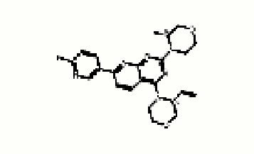 C=C[C@H]1COCCN1c1nc(N2CCOC[C@@H]2C)nc2nc(-c3ccc(F)nc3)ccc12